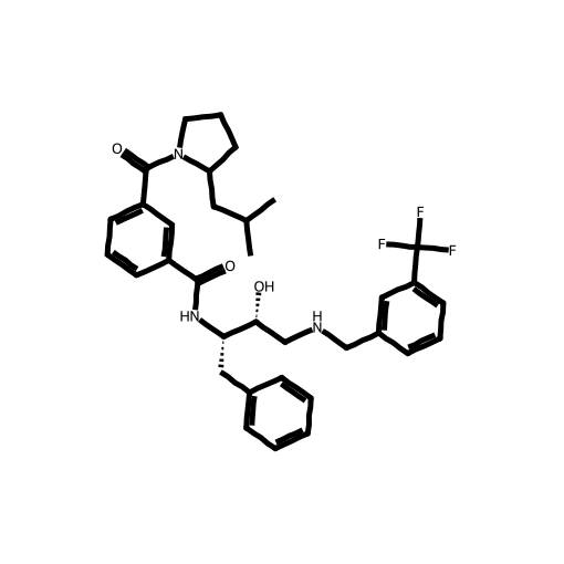 CC(C)CC1CCCN1C(=O)c1cccc(C(=O)N[C@@H](Cc2ccccc2)[C@H](O)CNCc2cccc(C(F)(F)F)c2)c1